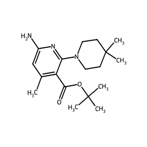 Cc1cc(N)nc(N2CCC(C)(C)CC2)c1C(=O)OC(C)(C)C